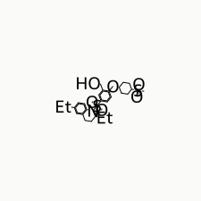 CCc1ccc2c(c1)CCC(CC)N2S(=O)(=O)c1ccc(OC2CCC(S(C)(=O)=O)CC2)c(CO)c1